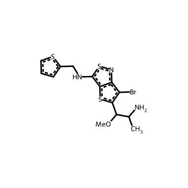 COC(c1sc2c(NCc3cccs3)snc2c1Br)C(C)N